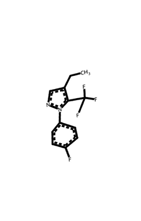 CCc1cnn(-c2ccc(F)cc2)c1C(F)(F)F